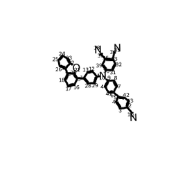 N#Cc1ccc(-c2ccc(N(c3ccc(-c4cccc5c4oc4ccccc45)cc3)c3ccc(C#N)c(C#N)c3)cc2)cc1